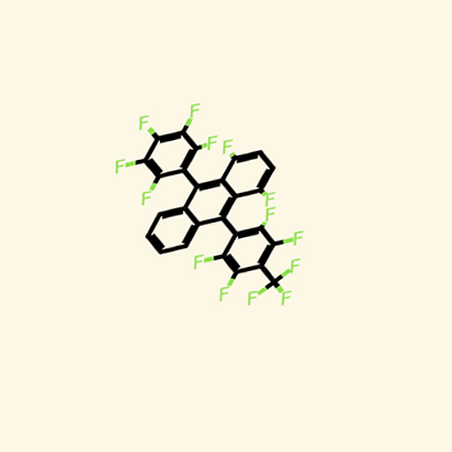 Fc1c(F)c(F)c(-c2c3ccccc3c(-c3c(F)c(F)c(C(F)(F)F)c(F)c3F)c3c(F)ccc(F)c23)c(F)c1F